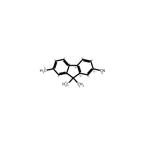 Cc1ccc2c(c1)C(C)(C)c1cc(C#N)ccc1-2